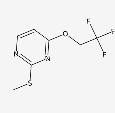 CSc1nccc(OCC(F)(F)F)n1